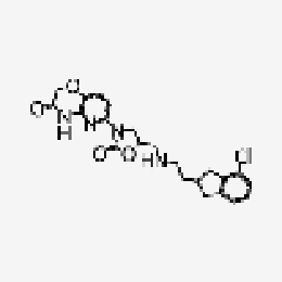 O=C1COc2ccc(N3CC(CNCCC4Cc5cccc(Cl)c5C4)OC3=O)nc2N1